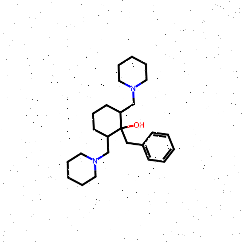 OC1(Cc2ccccc2)C(CN2CCCCC2)CCCC1CN1CCCCC1